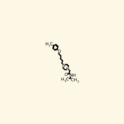 Cc1ccc(OCCCCCN2CCN(CC(=O)NC(C)C)CC2)cc1